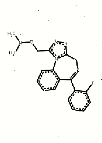 CN(C)OCc1nnc2n1-c1ccccc1C(c1ccccc1F)=NC2